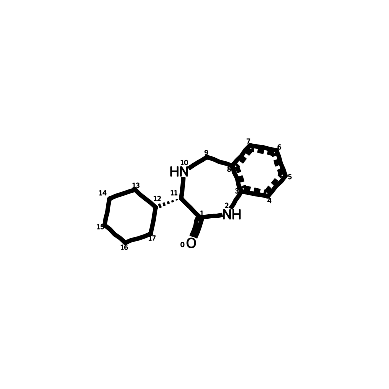 O=C1Nc2ccccc2CN[C@H]1C1CCCCC1